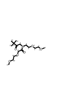 COCCOCCN(CC(=O)C(C)(C)C)C(=O)COCCOC